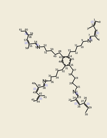 C\C=C(C)/C=C(C)\C=N\CCCCCc1cc(CCCCC/N=C/C(C)=C\C(C)=C/C)c(CCCCC/N=C/C(C)=C\C(C)=C/C)cc1CCCCC/N=C/C(C)=C\C(C)=C/C